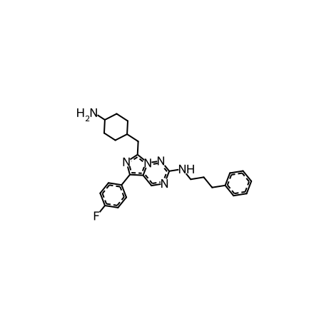 NC1CCC(Cc2nc(-c3ccc(F)cc3)c3cnc(NCCCc4ccccc4)nn23)CC1